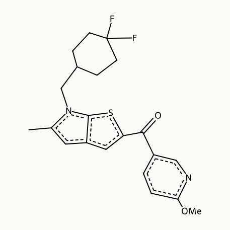 COc1ccc(C(=O)c2cc3cc(C)n(CC4CCC(F)(F)CC4)c3s2)cn1